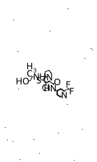 CC(CO)NSc1c(Cl)c(C(=O)Nc2ccnc(C(F)F)c2)n2c1CCC2